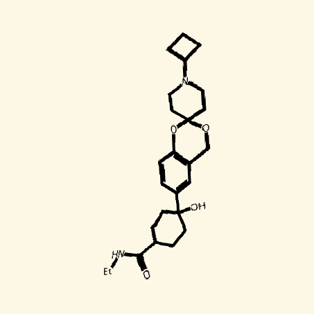 CCNC(=O)C1CCC(O)(c2ccc3c(c2)COC2(CCN(C4CCC4)CC2)O3)CC1